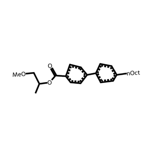 CCCCCCCCc1ccc(-c2ccc(C(=O)OC(C)COC)cc2)cc1